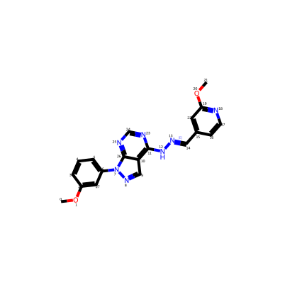 COc1cccc(-n2ncc3c(N/N=C/c4ccnc(OC)c4)ncnc32)c1